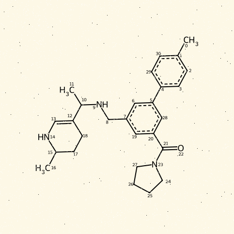 Cc1ccc(-c2cc(CNC(C)C3=CNC(C)CC3)cc(C(=O)N3CCCC3)c2)cc1